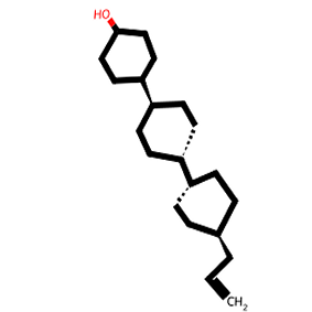 C=CC[C@H]1CC[C@H]([C@H]2CC[C@H](C3CCC(O)CC3)CC2)CC1